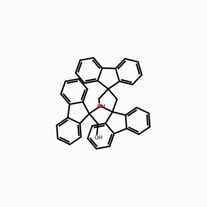 OCC1(CC2(CC3(CO)c4ccccc4-c4ccccc43)c3ccccc3-c3ccccc32)c2ccccc2-c2ccccc21